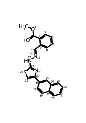 COC(=O)c1ccccc1/C=N/Nc1nc(-c2ccc3ccccc3c2)cs1